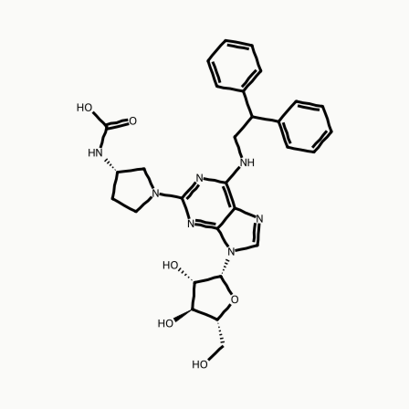 O=C(O)N[C@H]1CCN(c2nc(NCC(c3ccccc3)c3ccccc3)c3ncn([C@@H]4O[C@H](CO)[C@@H](O)[C@@H]4O)c3n2)C1